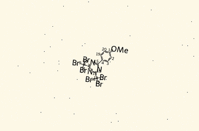 COc1ccc(-c2nc(C(Br)(Br)Br)nc(C(Br)(Br)Br)n2)cc1